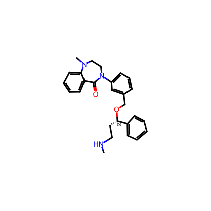 CNCC[C@H](OCc1cccc(N2CCN(C)c3ccccc3C2=O)c1)c1ccccc1